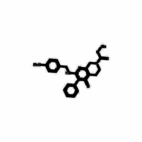 COc1ccc(CNc2nc3c(c(=O)n2-c2ccccc2)CCN(C(=O)OC(C)(C)C)C3)cc1